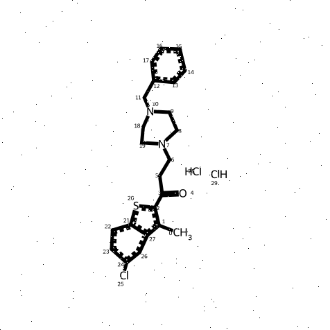 Cc1c(C(=O)CCN2CCN(Cc3ccccc3)CC2)sc2ccc(Cl)cc12.Cl.Cl